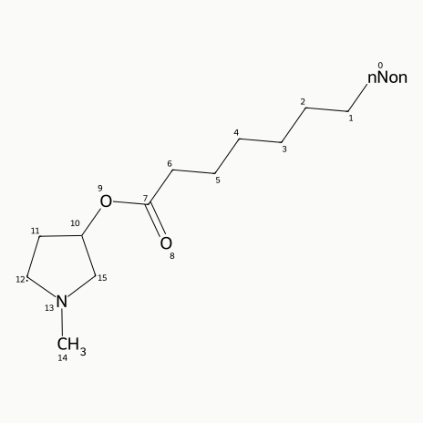 CCCCCCCCCCCCCCCC(=O)OC1C[CH]N(C)C1